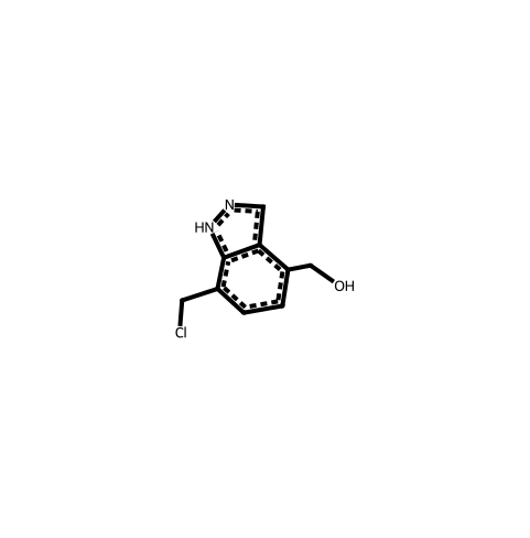 OCc1ccc(CCl)c2[nH]ncc12